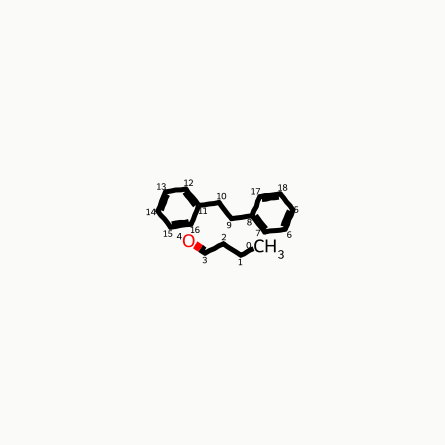 CCCC=O.c1ccc(CCc2ccccc2)cc1